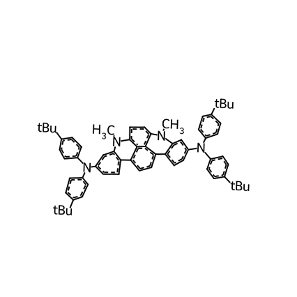 CN1c2cc(N(c3ccc(C(C)(C)C)cc3)c3ccc(C(C)(C)C)cc3)ccc2-c2ccc3c4c(ccc1c24)N(C)c1cc(N(c2ccc(C(C)(C)C)cc2)c2ccc(C(C)(C)C)cc2)ccc1-3